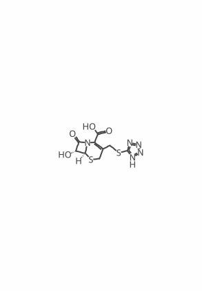 O=C(O)C1=C(CSc2nnn[nH]2)CS[C@H]2[C@H](O)C(=O)N12